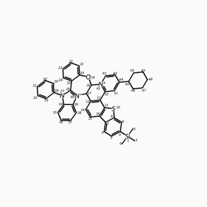 C[Si](C)(C)c1ccc2c(c1)sc1c3c(ccc12)C1C(Oc2ccccc2-c2n(-c4ccccc4)c4ccccc4[n+]21)[n+]1ccc(C2CCCCC2)cc1-3